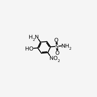 Nc1cc(S(N)(=O)=O)c([N+](=O)[O-])cc1O